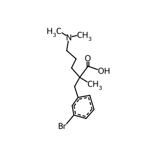 CN(C)CCCC(C)(Cc1cccc(Br)c1)C(=O)O